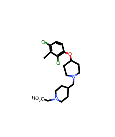 Cc1c(Cl)ccc(OC2CCN(CC3CCN(CC(=O)O)CC3)CC2)c1Cl